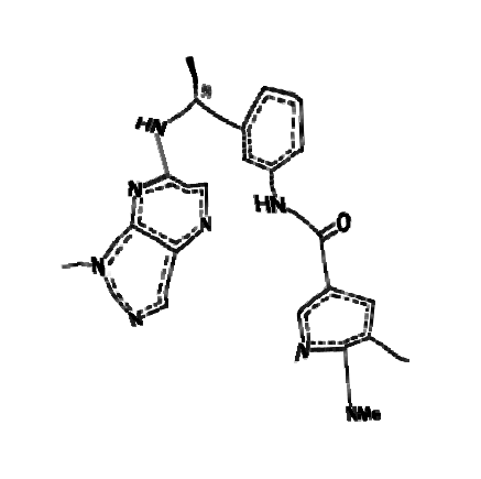 CNc1ncc(C(=O)Nc2cccc([C@H](C)Nc3cnc4cnn(C)c4n3)c2)cc1C